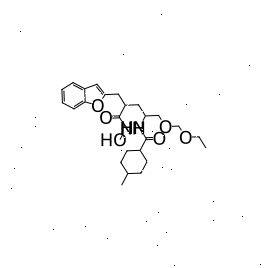 CCOCOCC(CC(Cc1cc2ccccc2o1)C(=O)NO)NC(=O)C1CCC(C)CC1